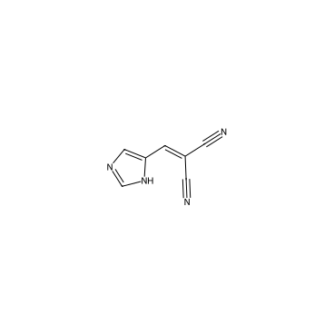 N#CC(C#N)=Cc1cnc[nH]1